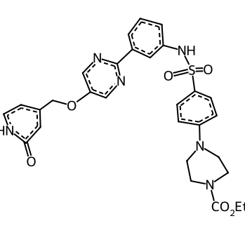 CCOC(=O)N1CCN(c2ccc(S(=O)(=O)Nc3cccc(-c4ncc(OCc5cc[nH]c(=O)c5)cn4)c3)cc2)CC1